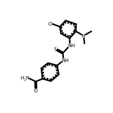 CN(C)c1ccc(Cl)cc1NC(=S)Nc1ccc(C(N)=O)cc1